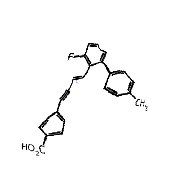 Cc1ccc(-c2cccc(F)c2/C=C/C#Cc2ccc(C(=O)O)cc2)cc1